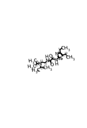 CCc1nc(NC(=O)C(=O)NCCN(C(C)C)C(C)C)sc1CC